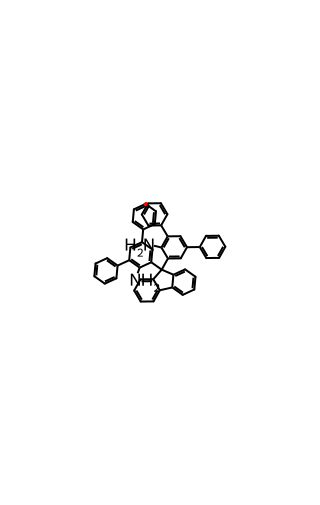 Nc1c(-c2ccccc2)cc(-c2ccccc2)cc1C1(c2cc(-c3ccccc3)cc(-c3ccccc3)c2N)c2ccccc2-c2ccccc21